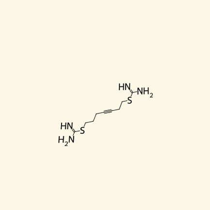 N=C(N)SCCC#CCCCSC(=N)N